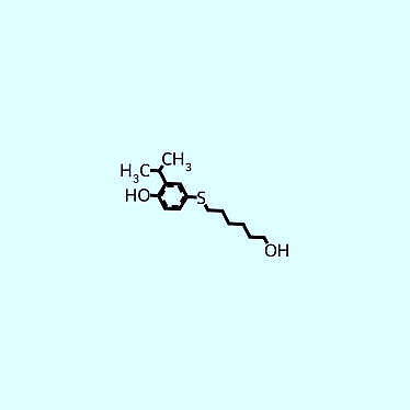 CC(C)c1cc(SCCCCCCO)ccc1O